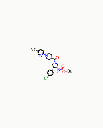 CCC(C)OC(=O)N(C)[C@@H]1CN(C(=O)C2CCN(c3ccc(C#N)cn3)CC2)C[C@H]1c1ccc(Cl)cc1